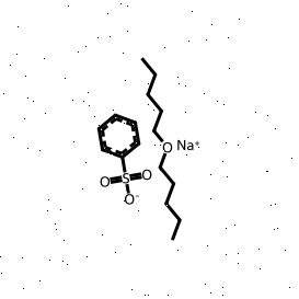 CCCCCOCCCCC.O=S(=O)([O-])c1ccccc1.[Na+]